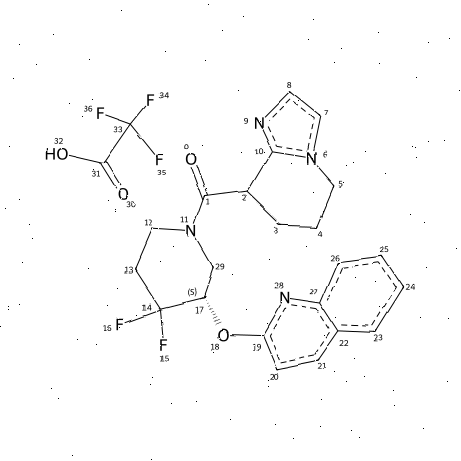 O=C(C1CCCn2ccnc21)N1CCC(F)(F)[C@@H](Oc2ccc3ccccc3n2)C1.O=C(O)C(F)(F)F